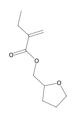 C=C(CC)C(=O)OCC1CCCO1